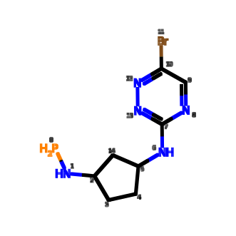 PNC1CCC(Nc2ncc(Br)nn2)C1